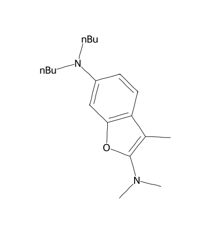 CCCCN(CCCC)c1ccc2c(C)c(N(C)C)oc2c1